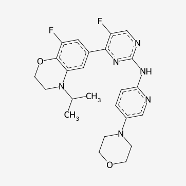 CC(C)N1CCOc2c(F)cc(-c3nc(Nc4ccc(N5CCOCC5)cn4)ncc3F)cc21